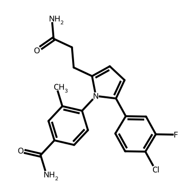 Cc1cc(C(N)=O)ccc1-n1c(CCC(N)=O)ccc1-c1ccc(Cl)c(F)c1